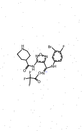 O=C(Nc1nonc1/C(=N\OC(=O)C(F)(F)F)Nc1ccc(F)c(Br)c1)C1CCNCC1